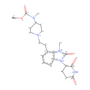 CN(C(=O)OC(C)(C)C)C1CCN(CCc2cccc3c2n(C)c(=O)n3C2CCC(=O)NC2=O)CC1